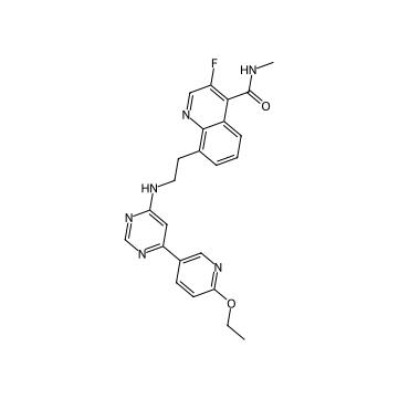 CCOc1ccc(-c2cc(NCCc3cccc4c(C(=O)NC)c(F)cnc34)ncn2)cn1